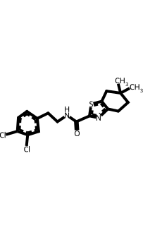 CC1(C)CCc2nc(C(=O)NCCc3ccc(Cl)c(Cl)c3)sc2C1